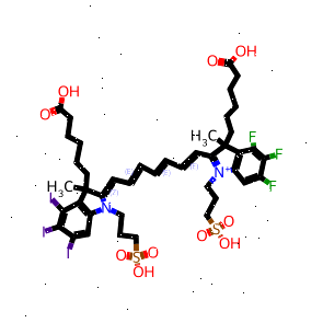 CC1(CCCCCC(=O)O)C(/C=C/C=C/C=C/C=C2\N(CCCS(=O)(=O)O)c3cc(I)c(I)c(I)c3C2(C)CCCCCC(=O)O)=[N+](CCCS(=O)(=O)O)c2cc(F)c(F)c(F)c21